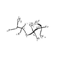 CCCC(C)(OC(F)(F)C(F)C(F)(F)F)C(C)(F)C(F)(F)F